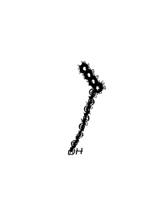 OCCOCCOCCOCCOCCOCCOCCOc1cccc2cc3cc4ccccc4cc3cc12